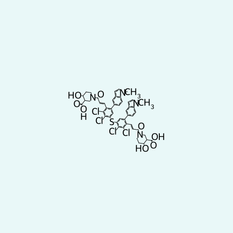 Cn1ccc2cc(-c3cc(Sc4cc(-c5ccc6c(ccn6C)c5)c(/C=C/C(=O)N5CCC(O)C(C(=O)O)C5)c(Cl)c4Cl)c(Cl)c(Cl)c3/C=C/C(=O)N3CCC(O)C(C(=O)O)C3)ccc21